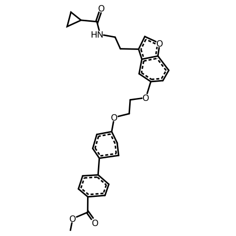 COC(=O)c1ccc(-c2ccc(OCCOc3ccc4occ(CCNC(=O)C5CC5)c4c3)cc2)cc1